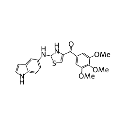 COc1cc(C(=O)C2=CSC(Nc3ccc4[nH]ccc4c3)N2)cc(OC)c1OC